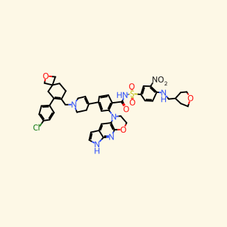 O=C(NS(=O)(=O)c1ccc(NCC2CCOCC2)c([N+](=O)[O-])c1)c1ccc(C2=CCN(CC3=C(c4ccc(Cl)cc4)CC4(CC3)COC4)CC2)cc1N1CCOc2nc3[nH]ccc3cc21